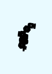 N#Cc1ccc(-c2cncc3c2CCN3S(=O)(=O)c2cccc(F)c2)cc1